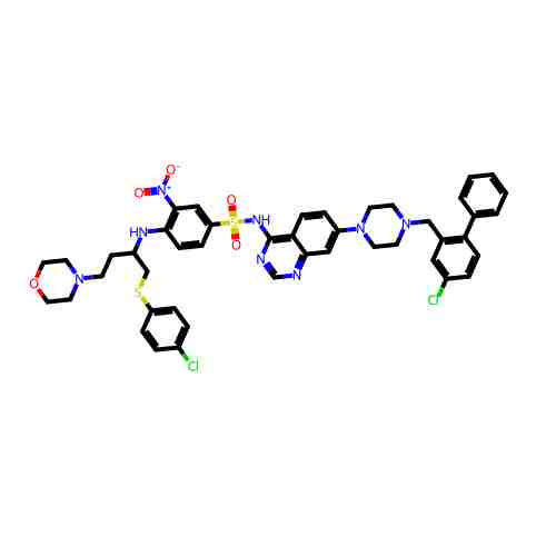 O=[N+]([O-])c1cc(S(=O)(=O)Nc2ncnc3cc(N4CCN(Cc5cc(Cl)ccc5-c5ccccc5)CC4)ccc23)ccc1NC(CCN1CCOCC1)CSc1ccc(Cl)cc1